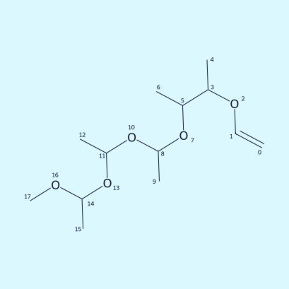 C=COC(C)C(C)OC(C)OC(C)OC(C)OC